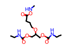 CCNC(=O)OCC(COC(=O)NCC)OCCCC(=O)ONC